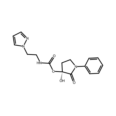 O=C(NCCn1cccn1)O[C@@]1(O)CCN(c2ccccc2)C1=O